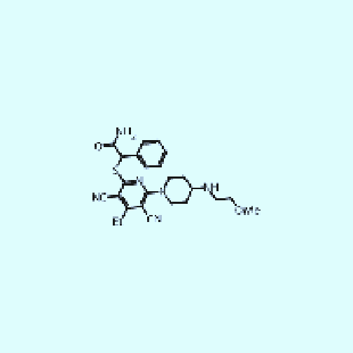 CCc1c(C#N)c(SC(C(N)=O)c2ccccc2)nc(N2CCC(NCCOC)CC2)c1C#N